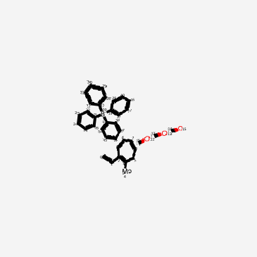 C=CC1=[C]([Mo])CC=CC=C1.[C]=O.[C]=O.[C]=O.c1ccc([B-](c2ccccc2)(c2ccccc2)c2ccccc2)cc1